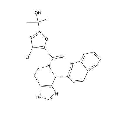 CC(C)(O)c1nc(Cl)c(C(=O)N2CCc3[nH]cnc3[C@H]2c2ccc3ccccc3n2)o1